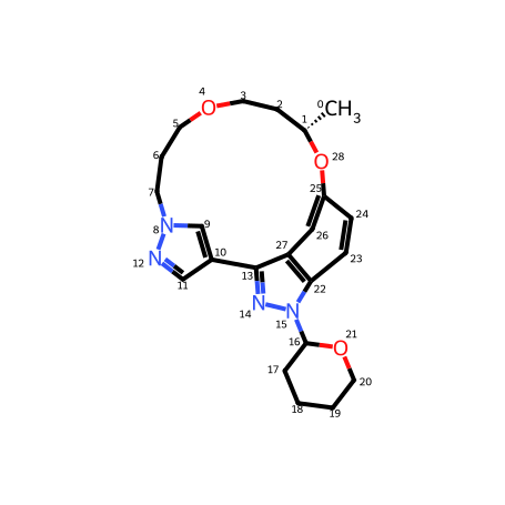 C[C@H]1CCOCCCn2cc(cn2)-c2nn(C3CCCCO3)c3ccc(cc23)O1